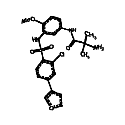 COc1ccc(NC(=O)C(C)(C)N)cc1NS(=O)(=O)c1ccc(-c2ccoc2)cc1Cl